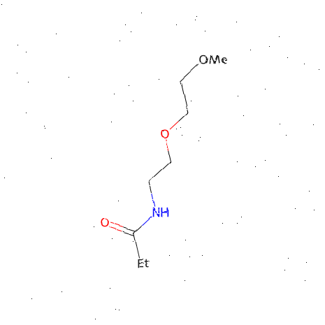 CCC(=O)NCCOCCOC